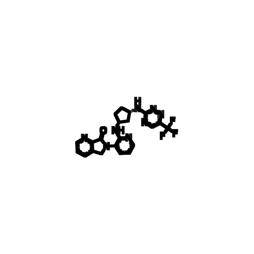 O=C1c2ncccc2CN1c1cccnc1N[C@H]1CC[C@H](Nc2ncc(C(F)(F)F)nn2)C1